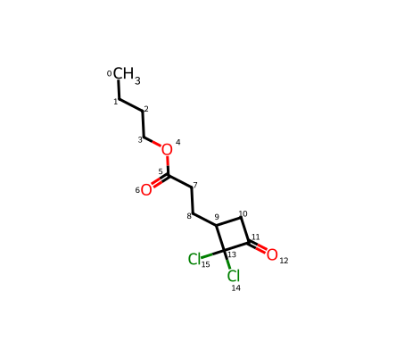 CCCCOC(=O)CCC1CC(=O)C1(Cl)Cl